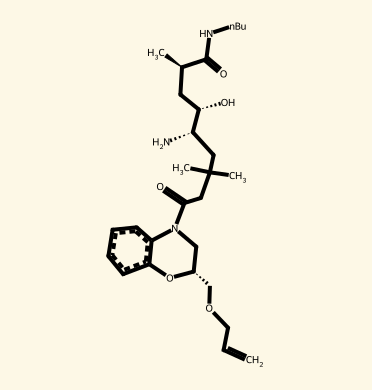 C=CCOC[C@H]1CN(C(=O)CC(C)(C)C[C@H](N)[C@@H](O)C[C@@H](C)C(=O)NCCCC)c2ccccc2O1